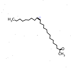 CCCCCCCC/C=C\CCCCCCCCCCCC(C)=O